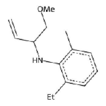 C=CC(COC)Nc1c(C)cccc1CC